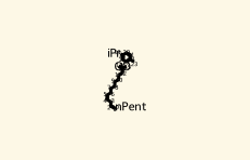 CCCCC/C=C\C/C=C\CCCCCCCC(=O)Oc1cc(C(C)C)ccc1C